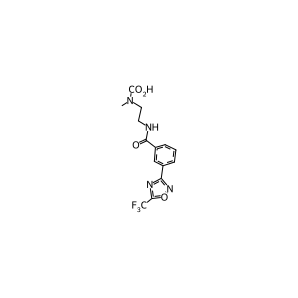 CN(CCNC(=O)c1cccc(-c2noc(C(F)(F)F)n2)c1)C(=O)O